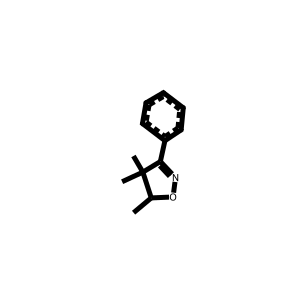 CC1ON=C(c2ccccc2)C1(C)C